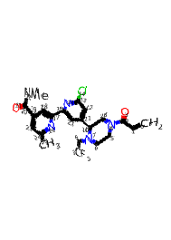 C=CC(=O)N1CCN(CC(F)(F)F)[C@@H](c2cc(Cl)nc(-c3cc(C(=O)NC)cc(C)n3)c2)C1